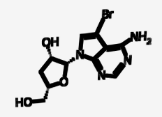 Nc1ncnc2c1c(Br)cn2[C@@H]1O[C@H](CO)C[C@@H]1O